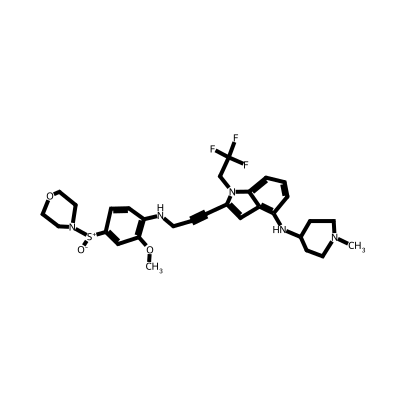 COc1cc([S+]([O-])N2CCOCC2)ccc1NCC#Cc1cc2c(NC3CCN(C)CC3)cccc2n1CC(F)(F)F